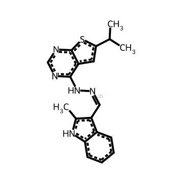 Cc1[nH]c2ccccc2c1/C=N\Nc1ncnc2sc(C(C)C)cc12